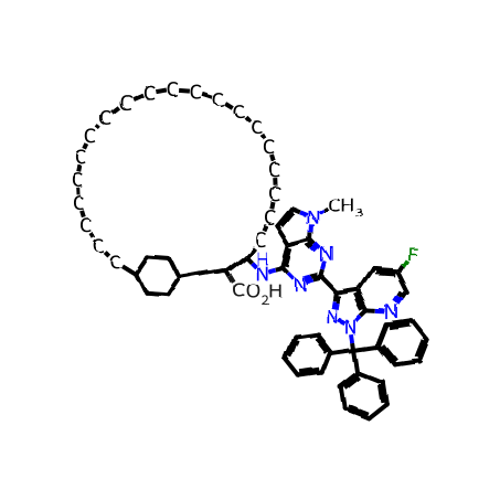 Cn1ccc2c(NC3CCCCCCCCCCCCCCCCCCCCC4CCC(CC4)C3C(=O)O)nc(-c3nn(C(c4ccccc4)(c4ccccc4)c4ccccc4)c4ncc(F)cc34)nc21